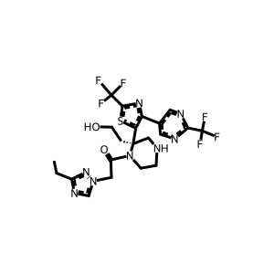 CCc1ncn(CC(=O)N2CCNC[C@]2(CCO)c2sc(C(F)(F)F)nc2-c2cnc(C(F)(F)F)nc2)n1